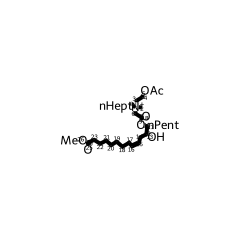 CCCCCCC[N+](C)(CCOC(C)=O)CC(=O)OC(CCCCC)C(O)C/C=C\CCCCCCCC(=O)OC